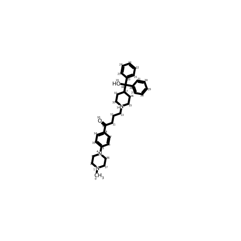 CN1CCN(c2ccc(C(=O)CCCN3CCC(C(O)(c4ccccc4)c4ccccc4)CC3)cc2)CC1